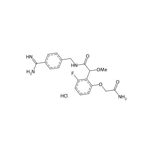 COC(C(=O)NCc1ccc(C(=N)N)cc1)c1c(F)cccc1OCC(N)=O.Cl